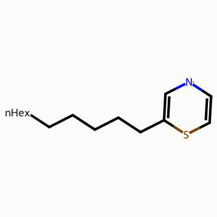 CCCCCCCCCCCC1=C[N]C=CS1